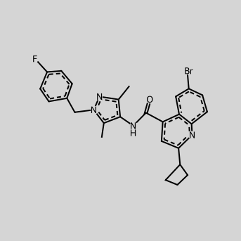 Cc1nn(Cc2ccc(F)cc2)c(C)c1NC(=O)c1cc(C2CCC2)nc2ccc(Br)cc12